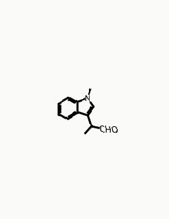 CC(C=O)c1cn(C)c2ccccc12